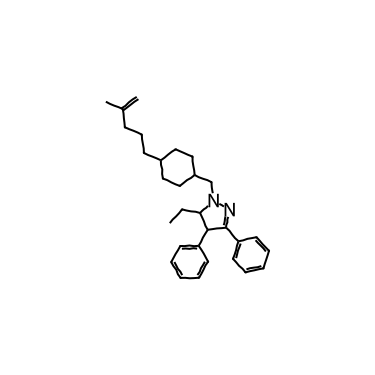 C=C(C)CCCC1CCC(CN2N=C(c3ccccc3)C(c3ccccc3)C2CC)CC1